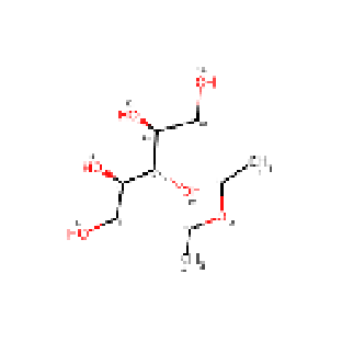 CCOCC.OC[C@@H](O)[C@@H](O)[C@@H](O)CO